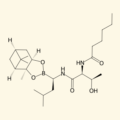 CCCCCC(=O)N[C@H](C(=O)N[C@@H](CC(C)C)B1O[C@@H]2C[C@@H]3C[C@@H](C3(C)C)[C@]2(C)O1)[C@@H](C)O